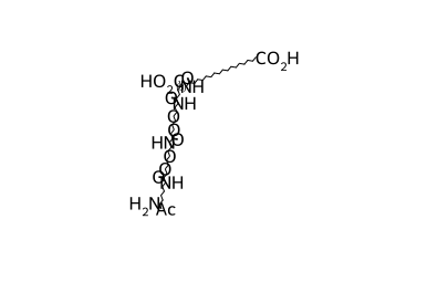 CC(=O)C(N)CCCCNC(=O)COCCOCCNC(=O)COCCOCCNC(=O)CC[C@H](NC(=O)CCCCCCCCCCCCCCCCC(=O)O)C(=O)O